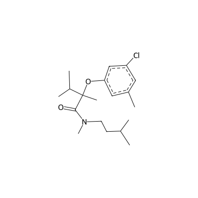 Cc1cc(Cl)cc(OC(C)(C(=O)N(C)CCC(C)C)C(C)C)c1